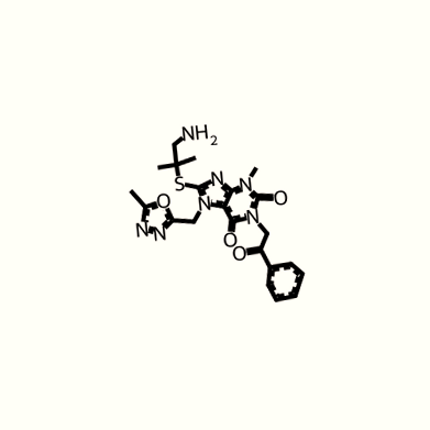 Cc1nnc(Cn2c(SC(C)(C)CN)nc3c2c(=O)n(CC(=O)c2ccccc2)c(=O)n3C)o1